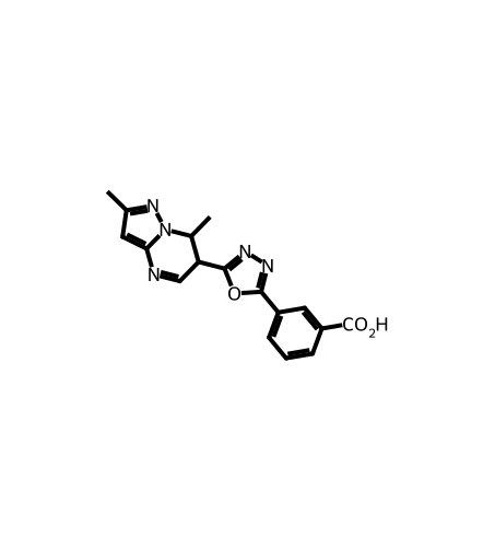 Cc1cc2n(n1)C(C)C(c1nnc(-c3cccc(C(=O)O)c3)o1)C=N2